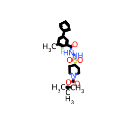 Cc1cc(-c2ccccc2)cc(C(=O)NNS(=O)(=O)C2CCN(C(=O)OC(C)(C)C)CC2)c1F